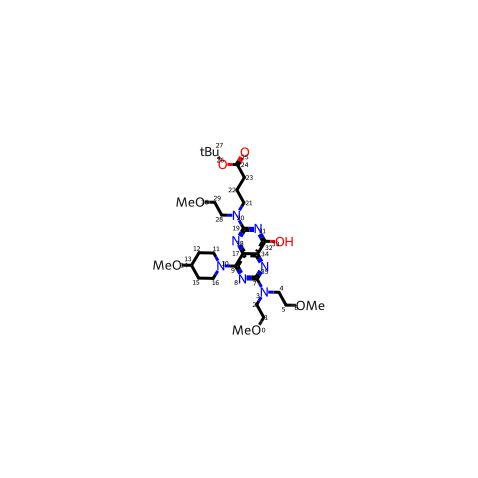 COCCN(CCOC)c1nc(N2CCC(OC)CC2)c2nc(N(CCCC(=O)OC(C)(C)C)CCOC)nc(O)c2n1